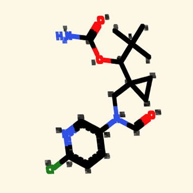 CC(C)(C)C(OC(N)=O)C1(CN(C=O)c2ccc(Cl)nc2)CC1